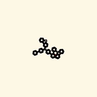 c1ccc(-c2ccc(N(c3ccc(-c4ccccc4-c4ccccc4-n4c5ccccc5c5ccccc54)cc3)c3ccc4oc5ccccc5c4c3)cc2)cc1